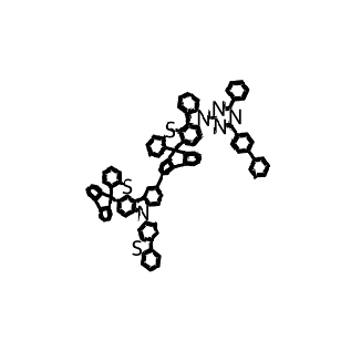 c1ccc(-c2ccc(-c3nc(-c4ccccc4)nc(-n4c5ccccc5c5c6c(ccc54)C4(c5ccccc5S6)c5ccccc5-c5cc(-c6ccc7c(c6)c6c8c(ccc6n7-c6ccc7c(c6)sc6ccccc67)C6(c7ccccc7S8)c7ccccc7-c7ccccc76)ccc54)n3)cc2)cc1